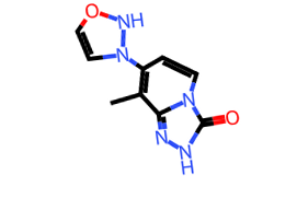 Cc1c(N2C=CON2)ccn2c(=O)[nH]nc12